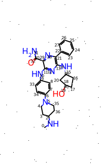 CNC1CCN(c2ccc(Nc3nc(N[C@@H]4CC[C@@H](O)C4)c(-c4ccccc4)nc3C(N)=O)cc2)CC1